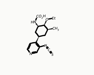 CCO[C@H]1[C@@H](C)C[C@@H](c2ccncc2N=C=S)C[C@H]1NC(=O)O